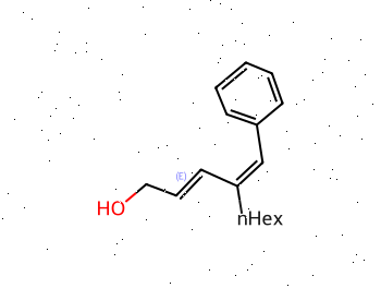 CCCCCCC(=Cc1ccccc1)/C=C/CO